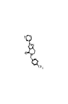 O=C1c2cn(-c3cccnc3)nc2CCN1Cc1ccc(C(F)(F)F)cc1